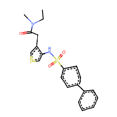 CCN(C)C(=O)Cc1cscc1NS(=O)(=O)c1ccc(-c2ccccc2)cc1